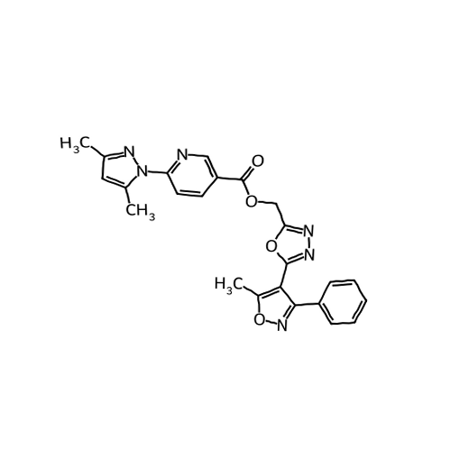 Cc1cc(C)n(-c2ccc(C(=O)OCc3nnc(-c4c(-c5ccccc5)noc4C)o3)cn2)n1